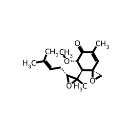 CO[C@@H]1C(=O)C(C)=C[C@]2(CO2)[C@H]1C1(C)O[C@@H]1CC=C(C)C